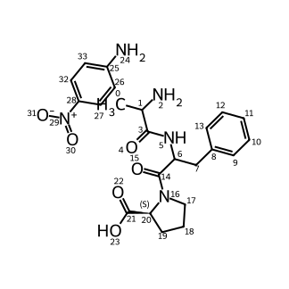 CC(N)C(=O)NC(Cc1ccccc1)C(=O)N1CCC[C@H]1C(=O)O.Nc1ccc([N+](=O)[O-])cc1